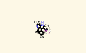 CC/C=C(\P)C1=C(C)Nc2c(C)cnc(C3CC3)c2C1c1ccc(C#N)cc1CC